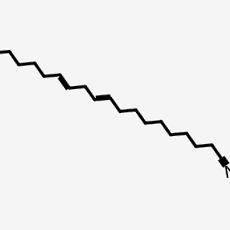 CCCCCC=CCC=CCCCCCCCCC#N